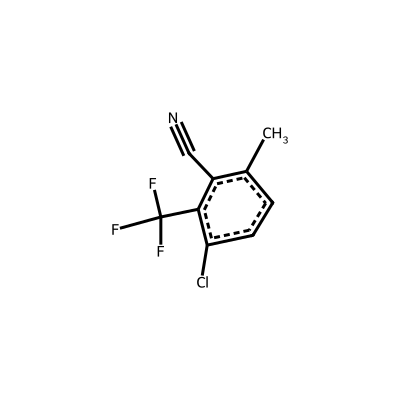 Cc1ccc(Cl)c(C(F)(F)F)c1C#N